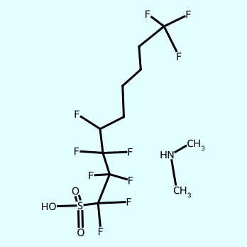 CNC.O=S(=O)(O)C(F)(F)C(F)(F)C(F)(F)C(F)CCCCC(F)(F)F